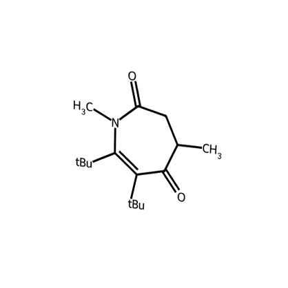 CC1CC(=O)N(C)C(C(C)(C)C)=C(C(C)(C)C)C1=O